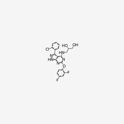 OCC(O)CNc1nc(Oc2ccc(F)cc2F)nc2[nH]nc(-c3ccccc3Cl)c12